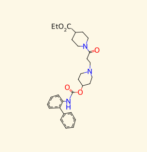 CCOC(=O)C1CCN(C(=O)CCN2CCC(OC(=O)Nc3ccccc3-c3ccccc3)CC2)CC1